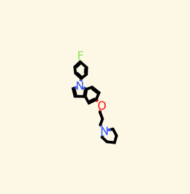 Fc1ccc(-n2ccc3cc(OCCCN4CCCCC4)ccc32)cc1